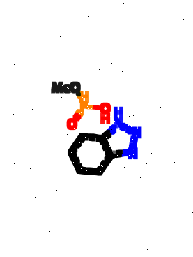 CO[PH](=O)O.c1ccc2[nH]nnc2c1